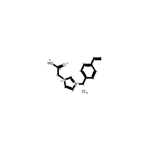 C=Cc1ccc(C[n+]2ccn(CC(=O)O)c2)cc1.[Cl-]